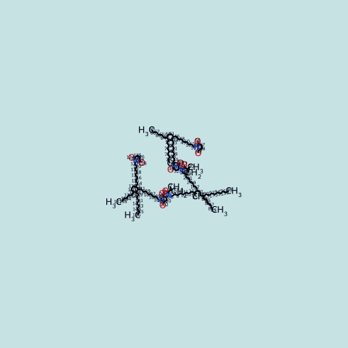 C=C(C)C(=O)N(CCCCCCCCC(C)C(CCCCCCCCN(C(=O)C(=C)C)C1CC(=O)N(CCCCCCCCC2C(CCCCCCCCN3C(=O)C=CC3=O)CCC(CCCCCC)C2CCCCCCCC)C1=O)CCC(CCCCCC)CCCCCCCCC)C1CC(=O)N(CCCCCCCCC2C(CCCCCCCCN3C(=O)C=CC3=O)CCC(CCCCCC)C2CCCCCCCC)C1=O